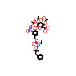 CCN(COC(C)(C)Cc1ccccc1)C(=O)OCc1ccc(O[C@@H]2O[C@H](C(=O)OC)[C@@H](OC(C)=O)[C@H](OC(C)=O)[C@H]2OC(C)=O)c([N+](=O)[O-])c1